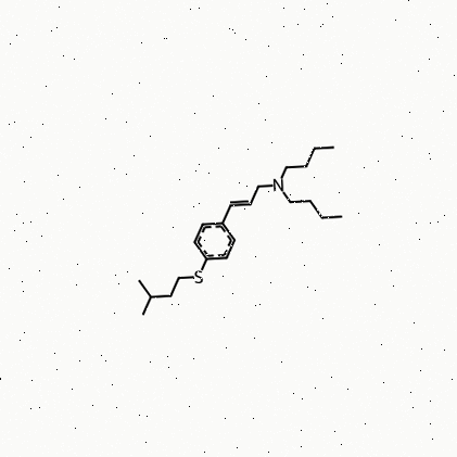 CCCCN(CC=Cc1ccc(SCCC(C)C)cc1)CCCC